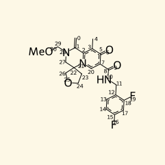 C=C1c2c(C)c(=O)c(C(=O)NCc3ccc(F)cc3F)cn2C2(CCOC2)CN1COC